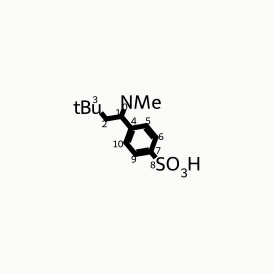 CNC(CC(C)(C)C)c1ccc(S(=O)(=O)O)cc1